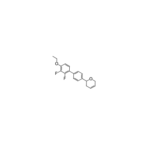 CCOc1ccc(-c2ccc(C3CC=CCO3)cc2)c(F)c1F